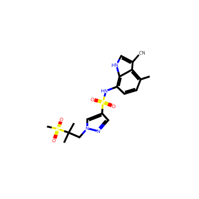 Cc1ccc(NS(=O)(=O)c2cnn(CC(C)(C)S(C)(=O)=O)c2)c2[nH]cc(C#N)c12